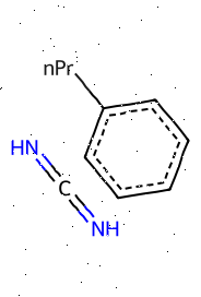 CCCc1ccccc1.N=C=N